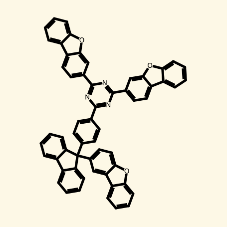 c1ccc2c(c1)-c1ccccc1C2(c1ccc(-c2nc(-c3ccc4c(c3)oc3ccccc34)nc(-c3ccc4c(c3)oc3ccccc34)n2)cc1)c1ccc2oc3ccccc3c2c1